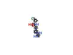 O=C(NC(CO)c1cccc(Cl)c1)c1ccn(-c2ccnc(NC3CCNC3)c2)c1